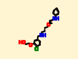 OCCOc1cc(CNCCCCOCCNc2ccccc2)ccc1Cl